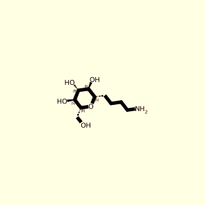 NCCCC[C@@H]1O[C@H](CO)[C@@H](O)[C@H](O)[C@H]1O